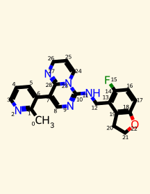 Cc1ncccc1C1=CN=C(NCc2c(F)ccc3c2CCO3)N2C=CCN=C12